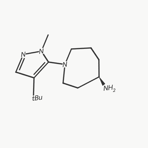 Cn1ncc(C(C)(C)C)c1N1CCC[C@@H](N)CC1